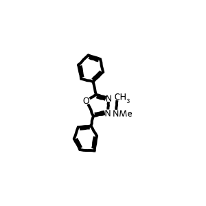 CNC.c1ccc(-c2nnc(-c3ccccc3)o2)cc1